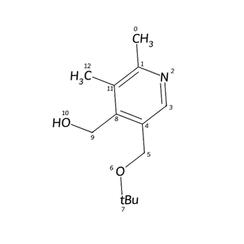 Cc1ncc(COC(C)(C)C)c(CO)c1C